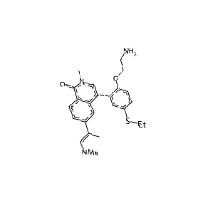 CCSc1ccc(OCCN)c(-c2cn(C)c(=O)c3ccc(/C(C)=C/NC)cc23)c1